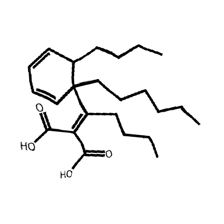 CCCCCCC1(C(CCCC)=C(C(=O)O)C(=O)O)C=CC=CC1CCCC